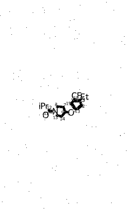 CCc1ccc(OC2CCN(C(=O)C(C)C)CC2)cc1C(F)(F)F